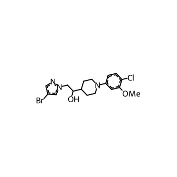 COc1cc(N2CCC(C(O)Cn3cc(Br)cn3)CC2)ccc1Cl